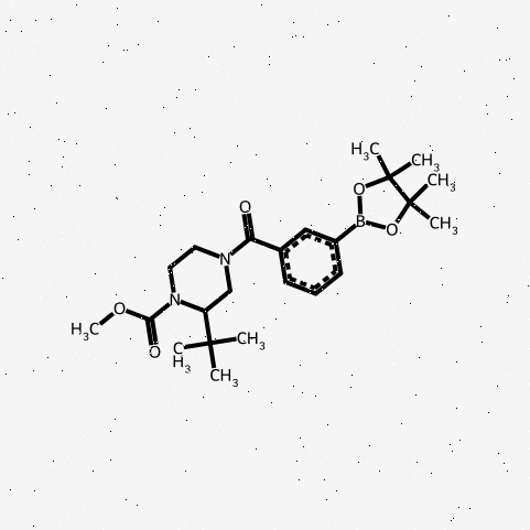 COC(=O)N1CCN(C(=O)c2cccc(B3OC(C)(C)C(C)(C)O3)c2)CC1C(C)(C)C